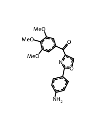 COc1cc(C(=O)c2coc(-c3ccc(N)cc3)n2)cc(OC)c1OC